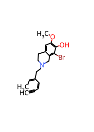 C#C/C=C\C(=C/C)CCN1CCc2cc(OC)c(O)c(Br)c2C1